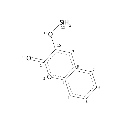 O=c1oc2ccccc2cc1O[SiH3]